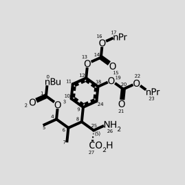 CCCCC(=O)OC(C)C(C)C(c1ccc(OC(=O)OCCC)c(OC(=O)OCCC)c1)[C@H](N)C(=O)O